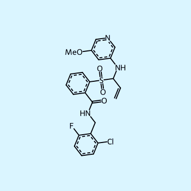 C=CC(Nc1cncc(OC)c1)S(=O)(=O)c1ccccc1C(=O)NCc1c(F)cccc1Cl